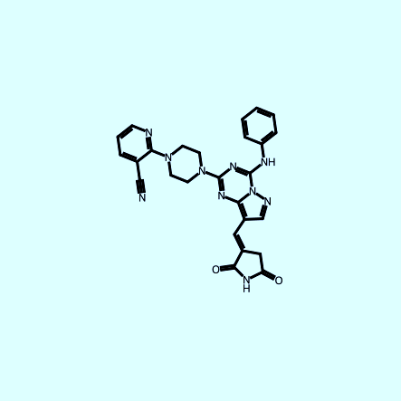 N#Cc1cccnc1N1CCN(c2nc(Nc3ccccc3)n3ncc(/C=C4\CC(=O)NC4=O)c3n2)CC1